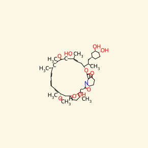 CO[C@H]1C[C@@H]2CC[C@@H](C)[C@](O)(CC(=O)N3CCCC[C@H]3C(=O)OC([C@H](C)C[C@@H]3CC[C@@H](O)[C@H](O)C3)C/C=C(\C)[C@@H](O)CC(=O)[C@H](C)C[C@H](C)/C=C/C=C/C=C/1C)O2